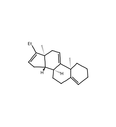 CCC1=CC[C@H]2[C@@H]3CCC4=CCCC[C@]4(C)C3=CC[C@]12C